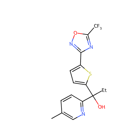 CCC(O)(c1ccc(C)cn1)c1ccc(-c2noc(C(F)(F)F)n2)s1